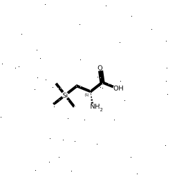 C[Si](C)(C)C[C@@H](N)C(=O)O